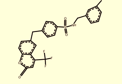 Cc1cccc(CNS(=O)(=O)c2ccc(Cc3ccc4oc(=O)cc(C(F)(F)F)c4c3)cc2)c1